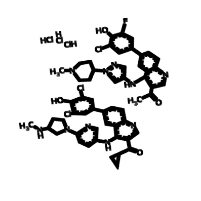 CC(=O)c1cnc2ccc(-c3cc(F)c(O)c(Cl)c3)cc2c1Nc1cnn(C2CCN(C)CC2)c1.CNC1CCN(c2ccc(Nc3c(C(=O)C4CC4)cnc4ccc(-c5cc(Cl)c(O)c(Cl)c5)cc34)cn2)C1.Cl.Cl.Cl